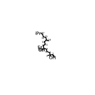 C=CC(C)(O)CCCC(C)CCCC(C)CCCC(C)C.CCO